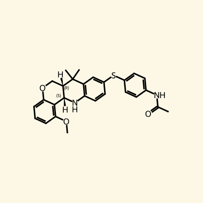 COc1cccc2c1[C@H]1Nc3ccc(Sc4ccc(NC(C)=O)cc4)cc3C(C)(C)[C@H]1CO2